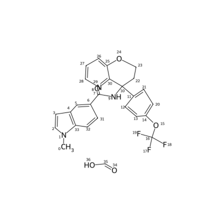 Cn1ccc2cc(C(=O)NC3(c4ccc(OC(F)(F)F)cc4)CCOc4cccnc43)ccc21.O=CO